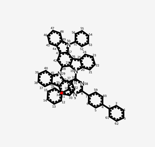 c1ccc(-c2ccc(-c3nc(-c4ccccc4)nc(-n4c5ccccc5c5c4c(-n4c6ccccc6c6ccccc64)cc4c6ccccc6n(-c6ccccc6)c45)n3)cc2)cc1